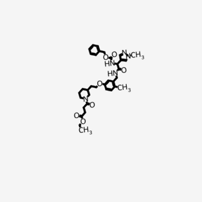 CCOC(=O)CCC(=O)N1CCCC(CCOc2ccc(C)c(CNC(=O)C(NC(=O)OCc3ccccc3)c3cnn(C)c3)c2)C1